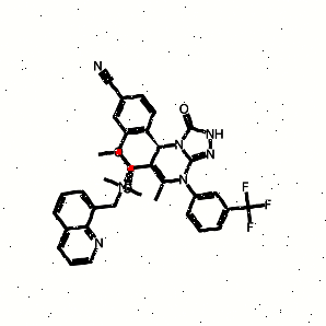 COC(=O)C1=C(C)N(c2cccc(C(F)(F)F)c2)c2n[nH]c(=O)n2[C@@H]1c1ccc(C#N)cc1CC[N+](C)(C)Cc1cccc2cccnc12